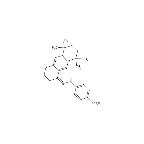 CC1(C)CCC(C)(C)c2cc3c(cc21)CCC/C3=N/Nc1ccc(C(=O)O)cc1